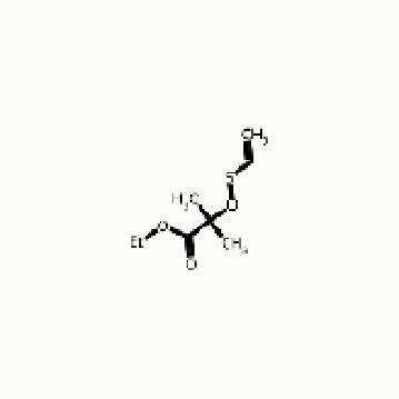 C=CSOC(C)(C)C(=O)OCC